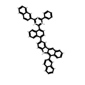 c1ccc(-c2nc(-c3ccc4ccccc4c3)nc(-c3ccc(-c4ccc5oc6c(-c7ccc8ccccc8c7)c7ccccc7cc6c5c4)c4ccccc34)n2)cc1